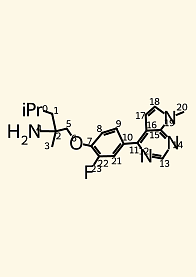 CC(C)CC(C)(N)COc1ccc(-c2ncnc3c2ccn3C)cc1F